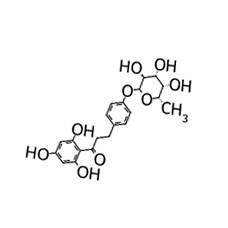 C[C@@H]1OC(Oc2ccc(CCC(=O)c3c(O)cc(O)cc3O)cc2)[C@@H](O)[C@H](O)[C@@H]1O